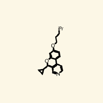 CC(C)CCCOc1ccc2c(c1)OC(C1CC1)c1cnccc1-2